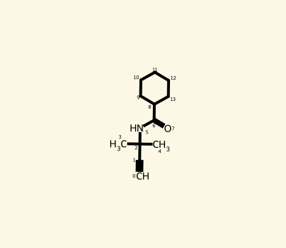 C#CC(C)(C)NC(=O)C1CCCCC1